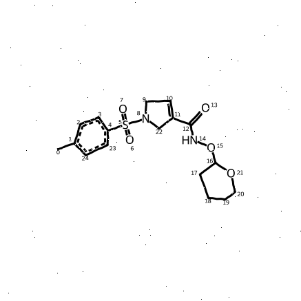 Cc1ccc(S(=O)(=O)N2CC=C(C(=O)NOC3CCCCO3)C2)cc1